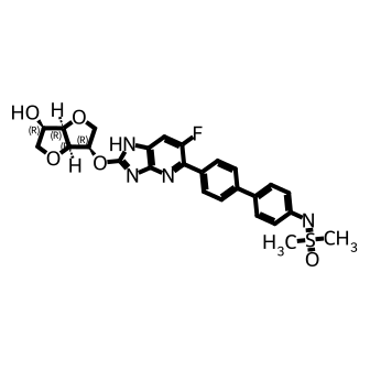 CS(C)(=O)=Nc1ccc(-c2ccc(-c3nc4nc(O[C@@H]5CO[C@H]6[C@@H]5OC[C@H]6O)[nH]c4cc3F)cc2)cc1